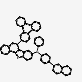 c1ccc(N(c2ccc(-c3ccc4ccccc4c3)cc2)c2ccc3sc4c5ccccc5cc(-c5ccc6c7ccccc7c7ccccc7c6c5)c4c3c2)cc1